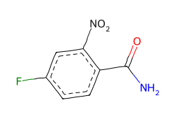 NC(=O)c1ccc(F)cc1[N+](=O)[O-]